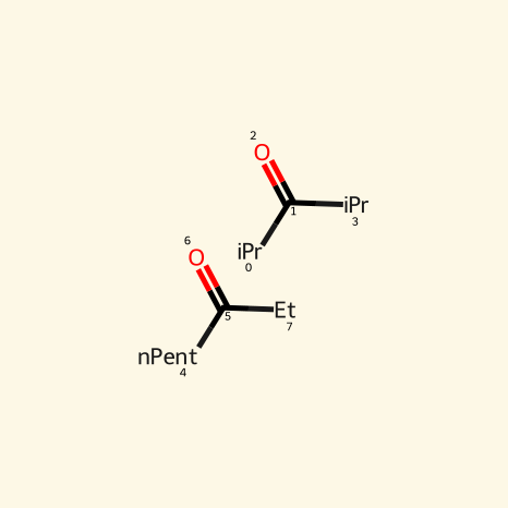 CC(C)C(=O)C(C)C.CCCCCC(=O)CC